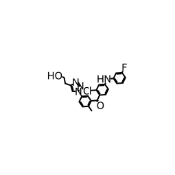 Cc1ccc(-n2cc(CCO)nn2)cc1C(=O)c1ccc(Nc2cccc(F)c2)cc1Cl